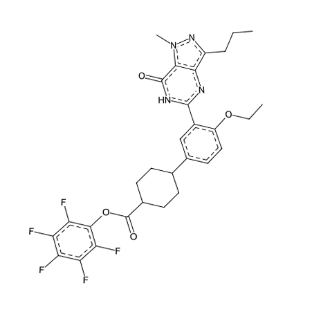 CCCc1nn(C)c2c(=O)[nH]c(-c3cc(C4CCC(C(=O)Oc5c(F)c(F)c(F)c(F)c5F)CC4)ccc3OCC)nc12